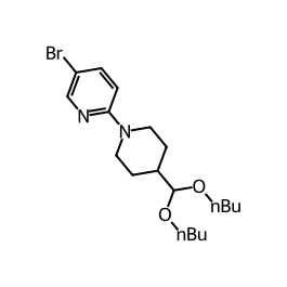 CCCCOC(OCCCC)C1CCN(c2ccc(Br)cn2)CC1